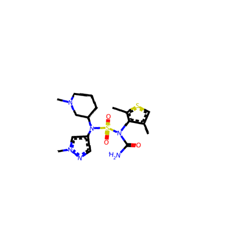 Cc1csc(C)c1N(C(N)=O)S(=O)(=O)N(c1cnn(C)c1)C1CCCN(C)C1